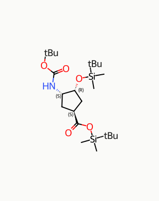 CC(C)(C)OC(=O)N[C@H]1C[C@H](C(=O)O[Si](C)(C)C(C)(C)C)C[C@H]1O[Si](C)(C)C(C)(C)C